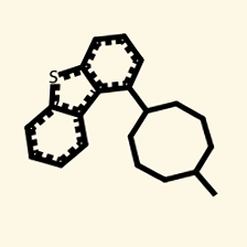 CC1CCCC(c2cccc3sc4ccccc4c23)CCC1